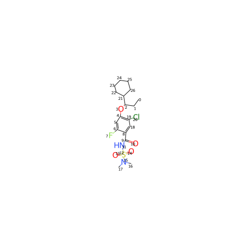 CCC(Oc1cc(F)c(C(=O)NS(=O)(=O)N(C)C)cc1Cl)C1CCCCC1